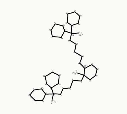 PC1(CCCCCC(P)(C2CCCCC2)C2CCCCC2)CCCCC1CCCCCC(P)(C1CCCCC1)C1CCCCC1